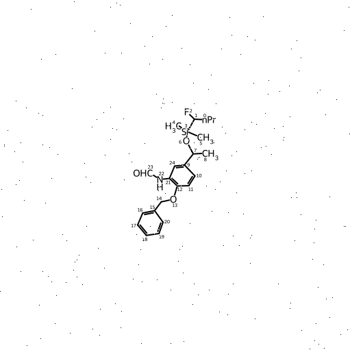 CCCC(F)[Si](C)(C)OC(C)c1ccc(OCc2ccccc2)c(NC=O)c1